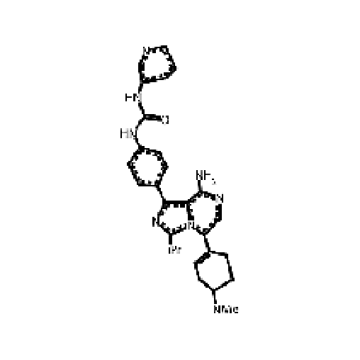 CNC1CC=C(c2cnc(N)c3c(-c4ccc(NC(=O)Nc5cccnc5)cc4)nc(C(C)C)n23)CC1